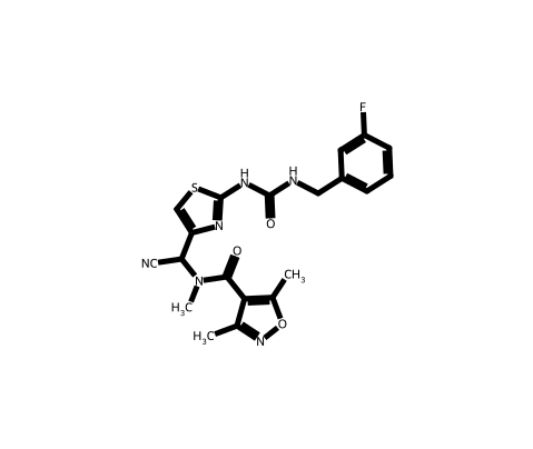 Cc1noc(C)c1C(=O)N(C)C(C#N)c1csc(NC(=O)NCc2cccc(F)c2)n1